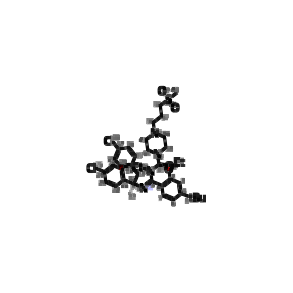 CCOc1cc(C(C)(C)C)ccc1/C(=N/[C@](C)(Cc1ccc(Cl)cc1)c1ccc(Cl)cc1)N(CC)C(=O)N1CCN(CCCS(C)(=O)=O)CC1